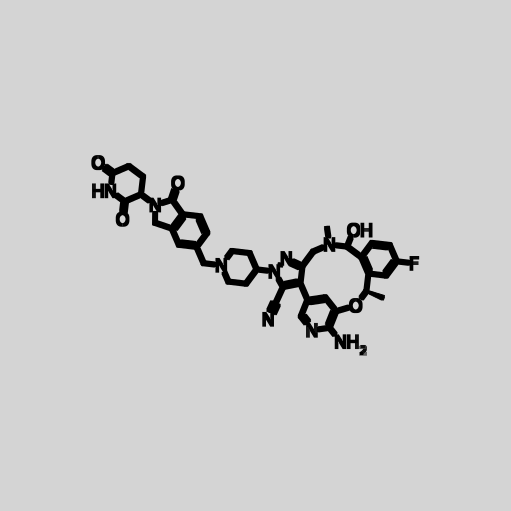 C[C@H]1Oc2cc(cnc2N)-c2c(nn(C3CCN(Cc4ccc5c(c4)CN(C4CCC(=O)NC4=O)C5=O)CC3)c2C#N)CN(C)C(O)c2ccc(F)cc21